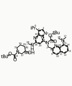 CC(C)c1cnn2c(N(Cc3ccc4cccc(N(C)C)c4n3)C(=O)OC(C)(C)C)cc(NC[C@H]3CCN(C(=O)OC(C)(C)C)C[C@@H]3O)nc12